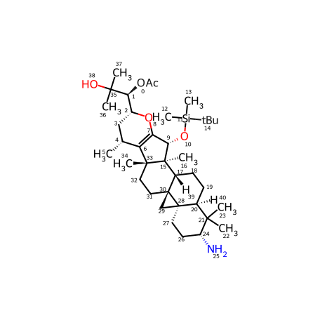 CC(=O)O[C@@H]([C@H]1C[C@@H](C)C2=C(O1)[C@H](O[Si](C)(C)C(C)(C)C)[C@@]1(C)[C@@H]3CC[C@H]4C(C)(C)[C@H](N)CC[C@@]45C[C@@]35CC[C@]21C)C(C)(C)O